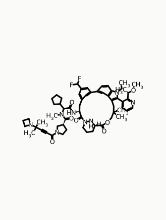 CCn1c(-c2cccnc2[C@H](C)OC)c2c3cc(ccc31)-c1cc(cc(C(F)F)c1)C[C@H](NC(=O)C(C1CCCC1)N(C)C(=O)[C@H]1CCN(C(=O)C#CC(C)(C)N3CCC3)C1)C(=O)N1CCC[C@H](N1)C(=O)OCC(C)(C)C2